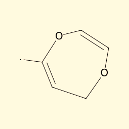 [CH2]C1=CCOC=CO1